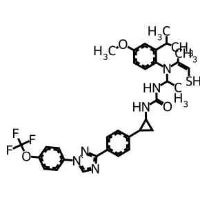 COc1ccc(N(/C(C)=C\S)C(C)NC(=O)NC2CC2c2ccc(-c3ncn(-c4ccc(OC(F)(F)F)cc4)n3)cc2)c(C(C)C)c1